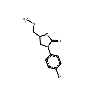 COCC1CN(c2ccc(Br)cc2)C(=O)O1